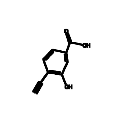 C#Cc1ccc(C(=O)O)cc1O